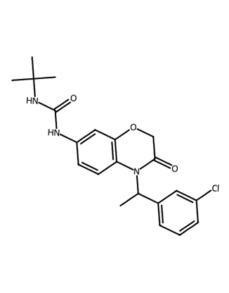 CC(c1cccc(Cl)c1)N1C(=O)COc2cc(NC(=O)NC(C)(C)C)ccc21